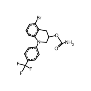 NC(=O)OC1Cc2c(Br)cccc2N(c2ccc(C(F)(F)F)cc2)C1